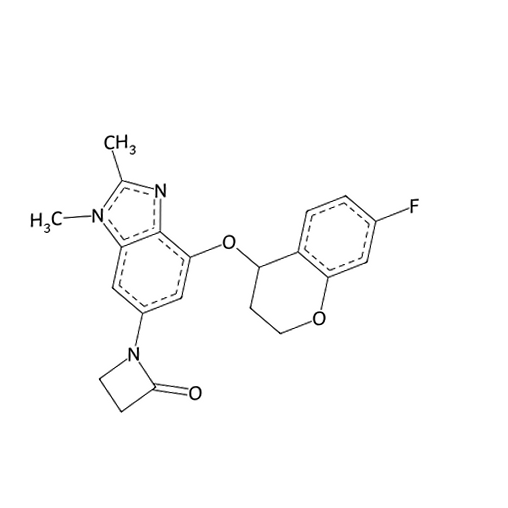 Cc1nc2c(OC3CCOc4cc(F)ccc43)cc(N3CCC3=O)cc2n1C